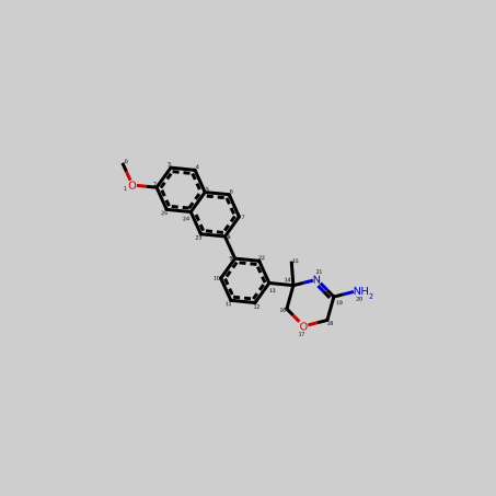 COc1ccc2ccc(-c3cccc(C4(C)COCC(N)=N4)c3)cc2c1